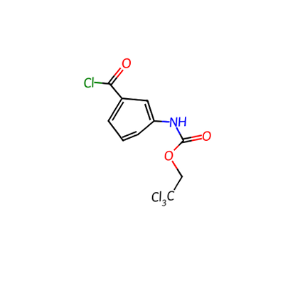 O=C(Nc1cccc(C(=O)Cl)c1)OCC(Cl)(Cl)Cl